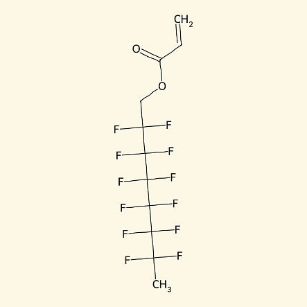 C=CC(=O)OCC(F)(F)C(F)(F)C(F)(F)C(F)(F)C(F)(F)C(C)(F)F